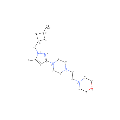 Cc1cc(N2CCN(CCN3CCOCC3)CC2)nn1CC1CC(C(F)(F)F)C1